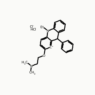 CCN1C2=CC=C(OCCN(C)C)[C+]=C2C(c2ccccc2)c2ccccc21.Cl.[Cl-]